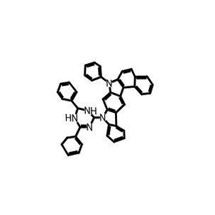 C1=CCCC(C2=NC(n3c4ccccc4c4cc5c6c7ccccc7ccc6n(-c6ccccc6)c5cc43)NC(c3ccccc3)N2)=C1